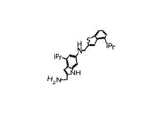 CC(C)c1cc(NCc2cc3c(C(C)C)cccc3s2)cc2[nH]c(CN)cc12